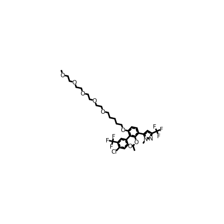 COCCOCCOCCOCCOCCCCCOc1ccc(-c2cc(C(F)(F)F)nn2C)c(OC(C)=O)c1-c1ccc(Cl)c(C(F)(F)F)c1